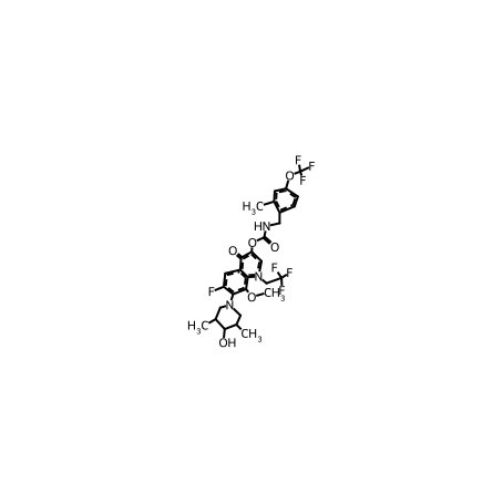 COc1c(N2CC(C)C(O)C(C)C2)c(F)cc2c(=O)c(OC(=O)NCc3ccc(OC(F)(F)F)cc3C)cn(CC(F)(F)F)c12